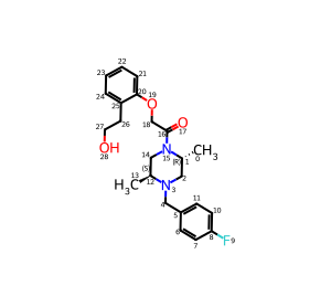 C[C@@H]1CN(Cc2ccc(F)cc2)[C@@H](C)CN1C(=O)COc1ccccc1CCO